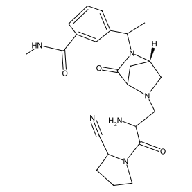 CNC(=O)c1cccc(C(C)N2C(=O)C3C[C@H]2CN3CC(N)C(=O)N2CCCC2C#N)c1